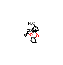 Cc1ccc(OC2CCCC2)c(OC2(C(=O)O)CC2)c1